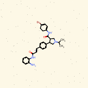 CC(C)N1CC(C(=O)NC2=CC=C(Br)CC2)C(c2ccc(/C=C/C(=O)Nc3ccccc3N)cc2)C1